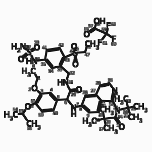 CCOc1cc(C(Nc2ccc3c(N(C(=O)C(C)(C)C)C(C)(C)C)nccc3c2)C(=O)NCc2cc(NS(N)(=O)=O)ccc2S(=O)(=O)CC)ccc1OC(C)C.O=C(O)C(F)(F)F